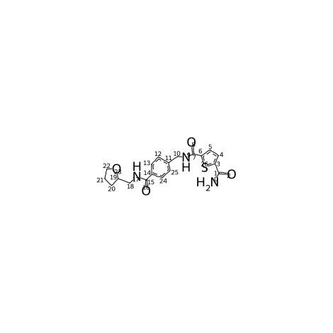 NC(=O)c1ccc(C(=O)NCc2ccc(C(=O)NCC3CCCO3)cc2)s1